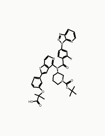 CC(C)(C)OC(=O)N1CCC[C@@H](N(C(=O)c2ccc(-n3nnc4cccnc43)cc2F)c2nccc3sc(-c4cccc(OC(C)(C)C(=O)O)c4)cc23)C1